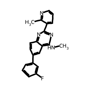 CNc1nc(-c2cccnc2C)nc2ccc(-c3cccc(F)c3)cc12